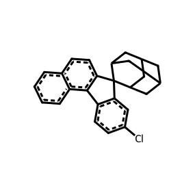 Clc1ccc2c(c1)C1(c3ccc4ccccc4c3-2)C2CC3CC(C2)CC1C3